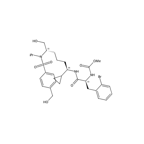 COC(=O)N[C@@H](Cc1ccccc1Br)C(=O)N[C@H](CCC[C@@H](CO)N(C(C)C)S(=O)(=O)c1ccc(CO)cc1)C1CC1